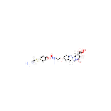 CCc1c2c(nc3ccc(OCCCNC(=O)OCc4ccc(SSC(C)(C)CN)cc4)cc13)-c1cc3c(c(=O)n1C2)COC(=O)[C@]3(O)CC